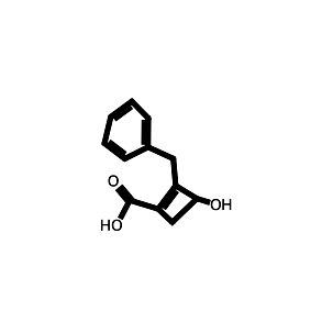 O=C(O)C1=C(Cc2ccccc2)C(O)C1